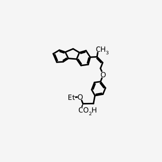 CCO[C@@H](Cc1ccc(OC/C=C(/C)c2ccc3c(c2)Cc2ccccc2-3)cc1)C(=O)O